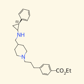 CCOC(=O)c1ccc(CCCN2CCC(CNC3C[C@H]3c3ccccc3)CC2)cc1